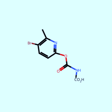 Cc1nc(OC(=O)NC(=O)O)ccc1Br